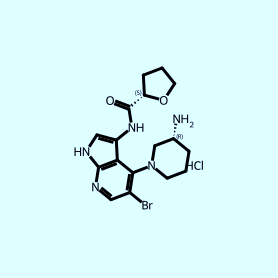 Cl.N[C@@H]1CCCN(c2c(Br)cnc3[nH]cc(NC(=O)[C@@H]4CCCO4)c23)C1